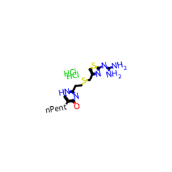 CCCCCc1c[nH]c(CCSCc2csc(N=C(N)N)n2)nc1=O.Cl.Cl